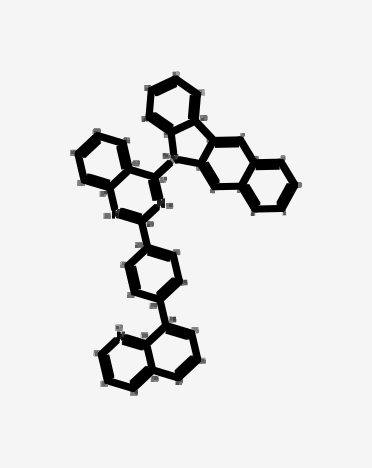 c1ccc2cc3c(cc2c1)c1ccccc1n3-c1nc(-c2ccc(-c3cccc4cccnc34)cc2)nc2ccccc12